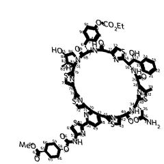 CCOC(=O)Oc1ccc(C[C@@H]2NC(=O)c3csc(n3)[C@H]([C@H](O)c3ccccc3)NC(=O)c3nc(sc3C)[C@H](CC(N)=O)NC(=O)c3csc(n3)-c3ccc(-c4nc(NC(=O)O[C@H]5CC[C@H](C(=O)OC)CC5)cs4)nc3-c3csc(n3)-c3csc(n3)[C@@H]3[C@@H](C)[C@@H](O)CN3C2=O)cc1